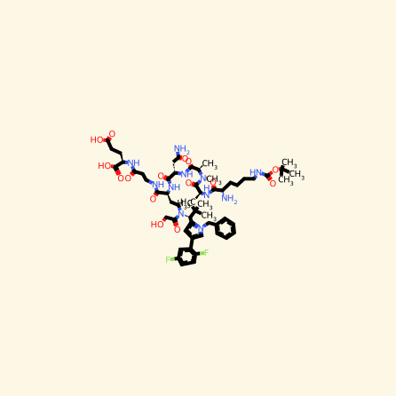 C[C@H](NC(=O)[C@@H](N)CCCCNC(=O)OC(C)(C)C)C(=O)N(C)[C@@H](C)C(=O)N[C@@H](CC(N)=O)C(=O)N[C@@H](CCN(C(=O)CO)[C@@H](c1cc(-c2cc(F)ccc2F)cn1Cc1ccccc1)C(C)(C)C)C(=O)NCCC(=O)N[C@H](CCC(=O)O)C(=O)O